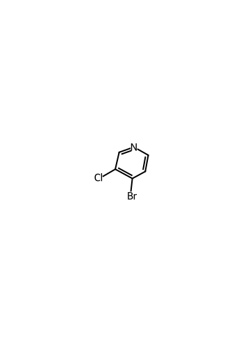 Clc1cnccc1Br